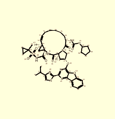 CC(C)c1csc(-c2nc(O[C@@H]3C[C@H]4C(=O)N[C@]5(C(=O)NS(=O)(=O)C6(C)CC6)C[C@H]5/C=C\CCCCC[C@H](NC(=O)OC5CCCC5)C(=O)N4C3)c3oc4ccccc4c3n2)n1